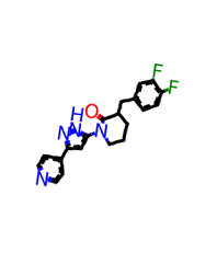 O=C1C(Cc2ccc(F)c(F)c2)CCCN1c1cc(-c2ccncc2)n[nH]1